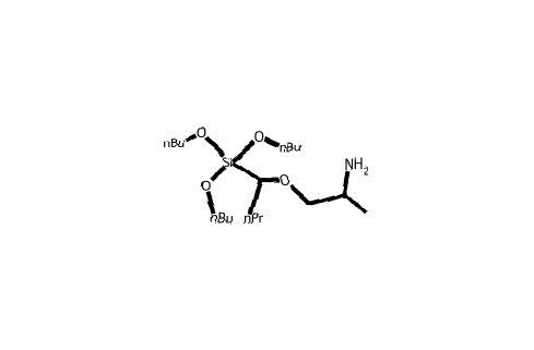 CCCCO[Si](OCCCC)(OCCCC)C(CCC)OCC(C)N